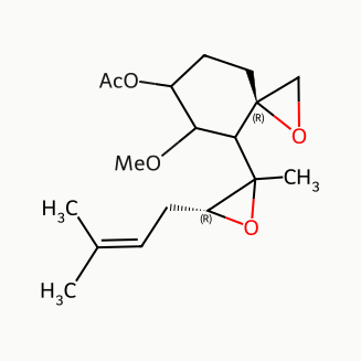 COC1C(OC(C)=O)CC[C@]2(CO2)C1C1(C)O[C@@H]1CC=C(C)C